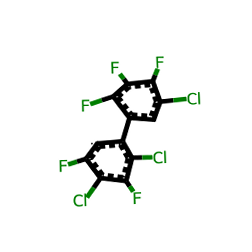 Fc1[c]c(-c2cc(Cl)c(F)c(F)c2F)c(Cl)c(F)c1Cl